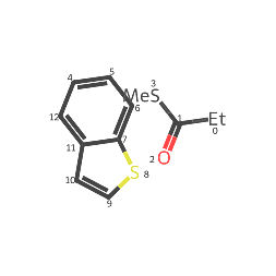 CCC(=O)SC.c1ccc2sccc2c1